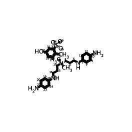 C[N+](C)(CCCNc1ccc(N)cc1)CCCNc1ccc(N)cc1.Cc1ccc(O)cc1S(=O)(=O)[O-]